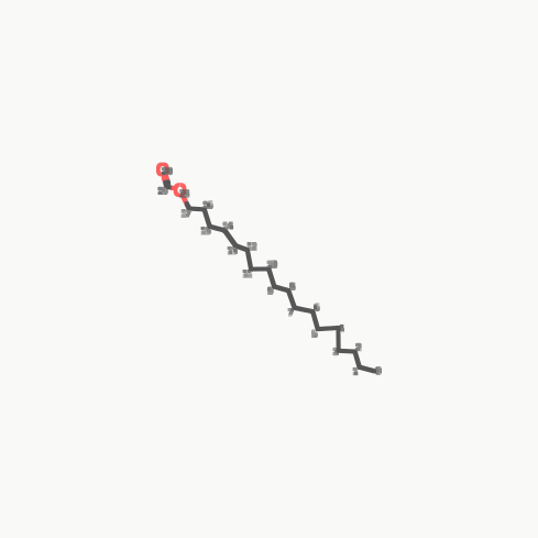 CCCCCCCCCCCCCCCCCCOC=O